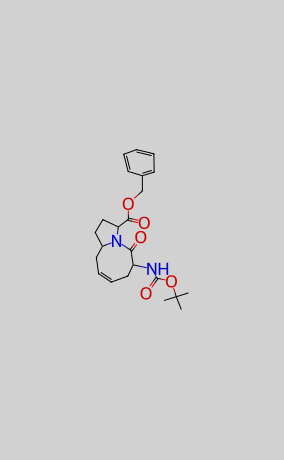 CC(C)(C)OC(=O)NC1CC=CCC2CCC(C(=O)OCc3ccccc3)N2C1=O